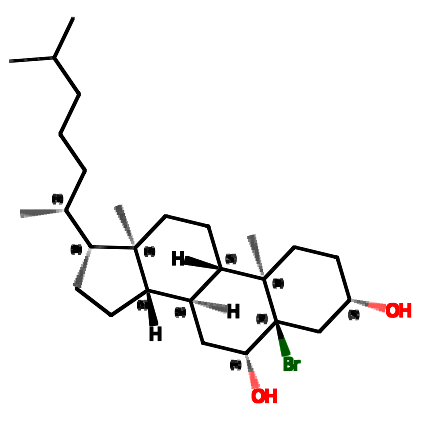 CC(C)CCC[C@@H](C)[C@H]1CC[C@H]2[C@@H]3C[C@@H](O)[C@@]4(Br)C[C@@H](O)CC[C@]4(C)[C@H]3CC[C@]12C